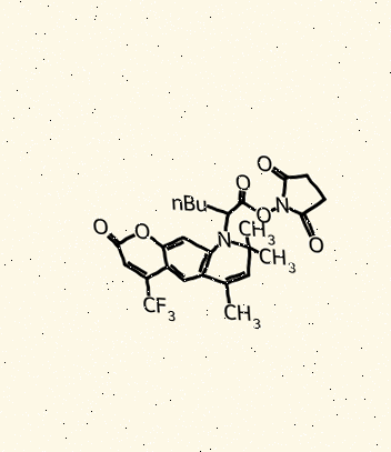 CCCCC(C(=O)ON1C(=O)CCC1=O)N1c2cc3oc(=O)cc(C(F)(F)F)c3cc2C(C)=CC1(C)C